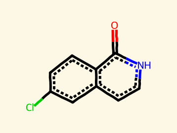 O=c1[nH]ccc2cc(Cl)ccc12